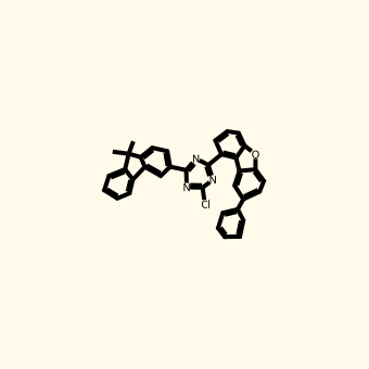 CC1(C)c2ccccc2-c2cc(-c3nc(Cl)nc(-c4cccc5oc6ccc(-c7ccccc7)cc6c45)n3)ccc21